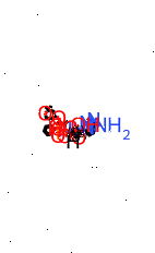 CC(NP(=O)(Oc1ccccc1)OC1[C@H]2O[C@@H](c3ccc4c(N)ncnn34)[C@H](O)[C@@]12O)C(=O)OC1CCOC(C)(C)C1